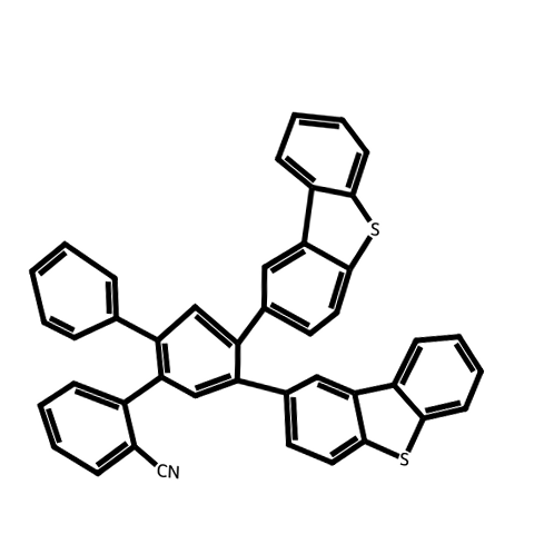 N#Cc1ccccc1-c1cc(-c2ccc3sc4ccccc4c3c2)c(-c2ccc3sc4ccccc4c3c2)cc1-c1ccccc1